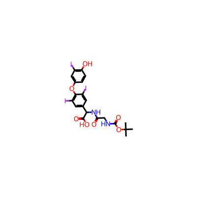 CC(C)(C)OC(=O)NCC(=O)NC(C(=O)O)c1cc(I)c(Oc2ccc(O)c(I)c2)c(I)c1